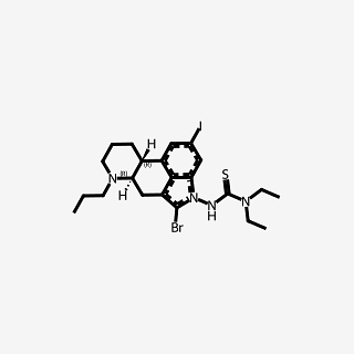 CCCN1CCC[C@@H]2c3cc(I)cc4c3c(c(Br)n4NC(=S)N(CC)CC)C[C@H]21